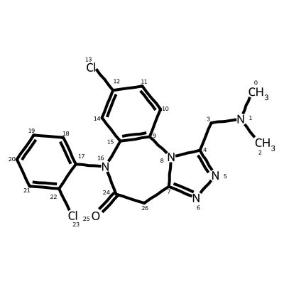 CN(C)Cc1nnc2n1-c1ccc(Cl)cc1N(c1ccccc1Cl)C(=O)C2